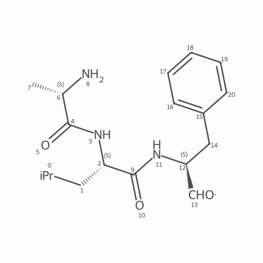 CC(C)C[C@H](NC(=O)[C@H](C)N)C(=O)N[C@H]([C]=O)Cc1ccccc1